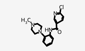 CN1CCN(c2ccccc2NC(=O)c2ccc(Cl)nc2)CC1